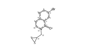 O=c1c2cc(Br)cnc2ccn1CC1CC1